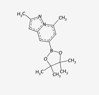 Cc1cc2cc(B3OC(C)(C)C(C)(C)O3)cc(C)n2n1